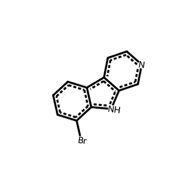 Brc1cccc2c1[nH]c1cnccc12